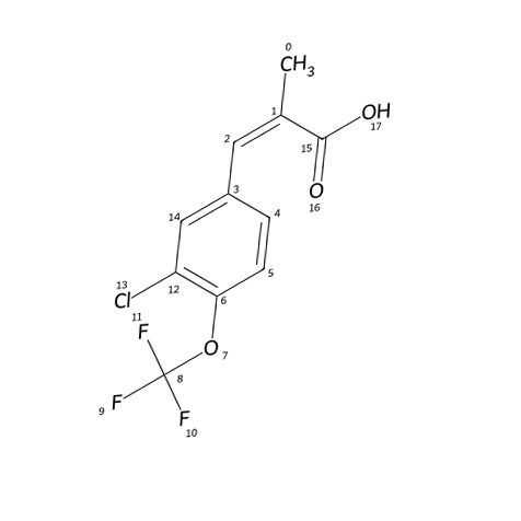 CC(=Cc1ccc(OC(F)(F)F)c(Cl)c1)C(=O)O